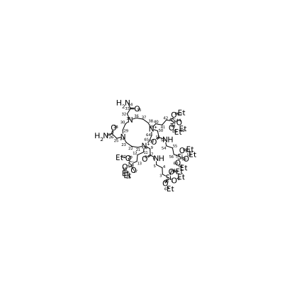 CCO[Si](CCCNC(=O)C[N+]1(CCC[Si](OCC)(OCC)OCC)CCCN(CC(N)=O)CCN(CC(N)=O)CCC[N+](CCC[Si](OCC)(OCC)OCC)(CC(=O)NCCC[Si](OCC)(OCC)OCC)CC1)(OCC)OCC